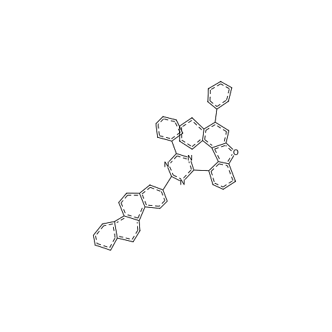 c1ccc(-c2nc(-c3ccc4c(ccc5c6ccccc6ccc45)c3)nc(-c3cccc4oc5cc(-c6ccccc6)c6ccccc6c5c34)n2)cc1